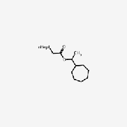 CCCCCCC[CH]C(=O)OC(C)C1CCCCCC1